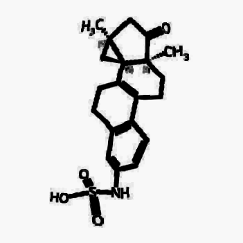 C[C@]12CC(=O)[C@@]3(C)CCC4=C(CCc5cc(NS(=O)(=O)O)ccc54)[C@]13C2